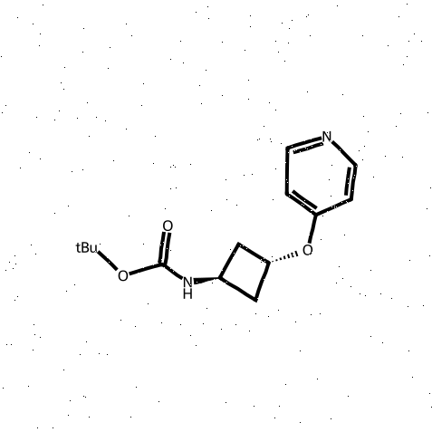 CC(C)(C)OC(=O)N[C@H]1C[C@H](Oc2ccncc2)C1